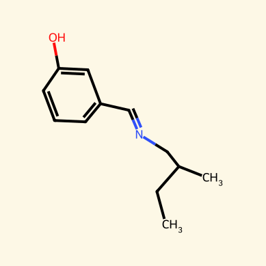 CCC(C)C/N=C/c1cccc(O)c1